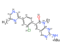 CCCCNc1ncc2cc(-c3ccc(-c4cncc(C)n4)cc3Cl)c(=O)n(CC)c2n1